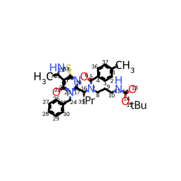 Cc1ccc(C(=O)N(CCCNC(=O)OC(C)(C)C)C(c2nc3c(c(=O)n2Cc2ccccc2)C(C)NS3)C(C)C)cc1